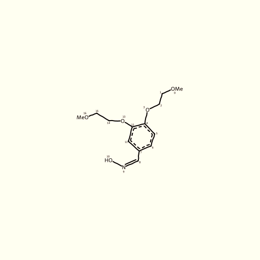 COCCOc1ccc(/C=N\O)cc1OCCOC